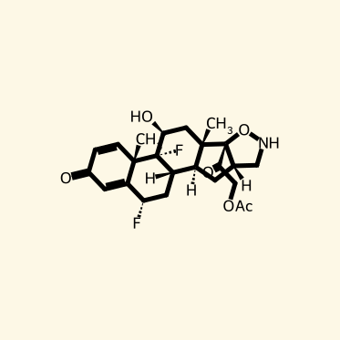 CC(=O)OCC(=O)[C@@]12ONC[C@@H]1C[C@H]1[C@@H]3C[C@H](F)C4=CC(=O)C=C[C@]4(C)[C@@]3(F)[C@@H](O)C[C@@]12C